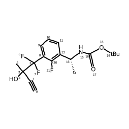 C#CC(C)(O)C(F)(F)c1cccc([C@@H](C)NC(=O)OC(C)(C)C)c1F